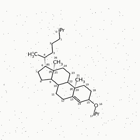 CC(C)CCCC(C)[C@H]1CCC2C3CCC4=CC(OC(C)C)CC[C@]4(C)C3CC[C@@]21C